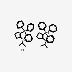 CC(C)OC1=C([PH](c2ccccc2)(c2ccccc2)c2ccccc2)CCC1.CC(C)OC1=C([PH](c2ccccc2)(c2ccccc2)c2ccccc2)CCC1.I